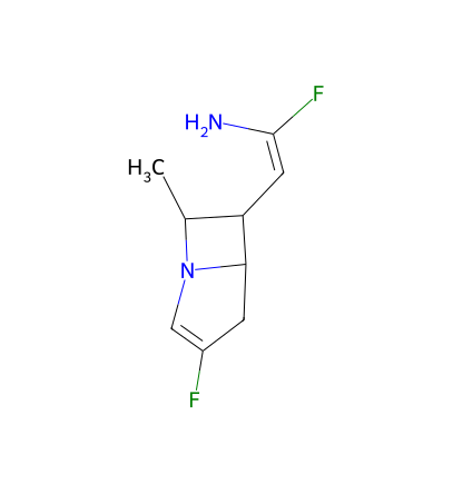 CC1C(/C=C(\N)F)C2CC(F)=CN12